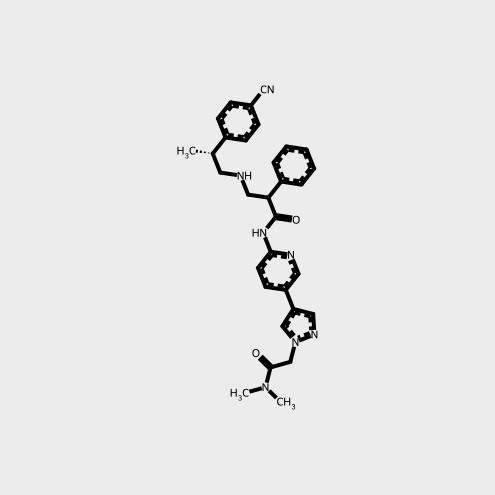 C[C@@H](CNCC(C(=O)Nc1ccc(-c2cnn(CC(=O)N(C)C)c2)cn1)c1ccccc1)c1ccc(C#N)cc1